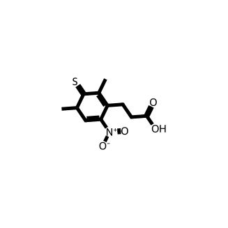 CC1=C(CCC(=O)O)C([N+](=O)[O-])=CC(C)C1=S